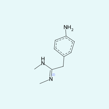 C/N=C(/Cc1ccc(N)cc1)NC